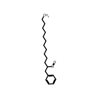 CCCCCCCCCCCCC(Cc1ccccc1)N=O